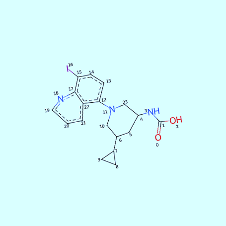 O=C(O)NC1CC(C2CC2)CN(c2ccc(I)c3ncccc23)C1